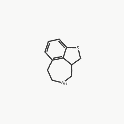 c1cc2c3c(c1)SCC3CNCC2